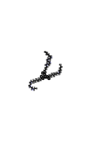 CC/C=C\C/C=C\C/C=C\CCCCCCCC(=O)O[C@@H](COC(=O)CCCCC/C=C\C/C=C\C/C=C\C/C=C\CCCCC)COC(=O)CCCCCCC/C=C\CCCCC